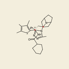 Cc1sc([C@H](CCN2C3CCC2CC(n2c(C)nnc2C(C)C)C3)NC(=O)C2CCCCC2)c(C)c1C